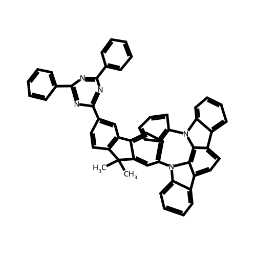 CC1(C)c2ccc(-c3nc(-c4ccccc4)nc(-c4ccccc4)n3)cc2-c2ccc(-n3c4ccccc4c4ccc5c6ccccc6n(-c6ccccc6)c5c43)cc21